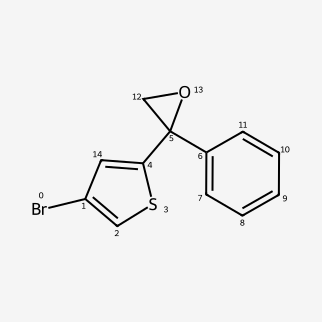 Brc1csc(C2(c3ccccc3)CO2)c1